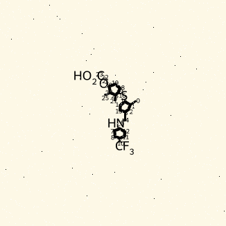 Cc1cc(CNc2ccc(C(F)(F)F)cc2)ccc1Sc1ccc(OCC(=O)O)c(C)c1C